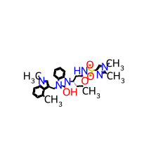 CCC[C@@H](CC(=O)NS(=O)(=O)c1cn(C)c(C)n1)N1c2ccccc2N(Cc2cn(C)c3cccc(C)c23)C1O